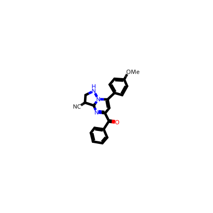 COc1ccc(C2=CC(C(=O)c3ccccc3)=NC3C(C#N)CNN23)cc1